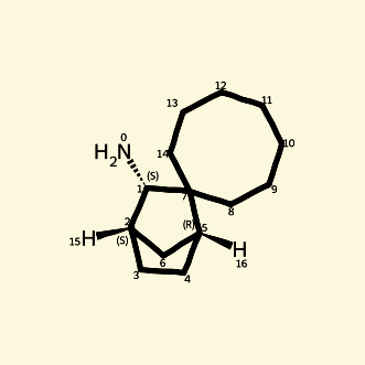 N[C@H]1[C@H]2CC[C@H](C2)C12CCCCCCC2